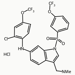 CNCc1cn(S(=O)(=O)c2cccc(OC(F)(F)F)c2)c2cc(Nc3ccc(OC(F)(F)F)cc3Cl)ccc12.Cl